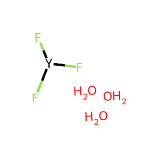 O.O.O.[F][Y]([F])[F]